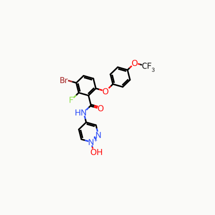 O=C(Nc1cc[n+](O)nc1)c1c(Oc2ccc(OC(F)(F)F)cc2)ccc(Br)c1F